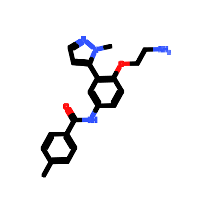 Cc1ccc(C(=O)Nc2ccc(OCCN)c(-c3ccnn3C)c2)cc1